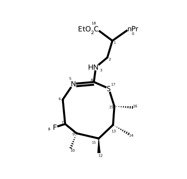 CCCC(CN/C1=N/CC(F)[C@@H](C)[C@H](C)[C@@H](C)[C@@H](C)S1)C(=O)OCC